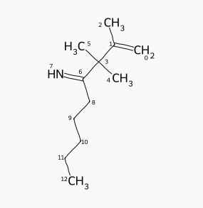 C=C(C)C(C)(C)C(=N)CCCCC